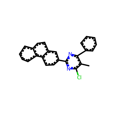 Cc1c(Cl)nc(-c2ccc3c(ccc4ccccc43)c2)nc1-c1ccccc1